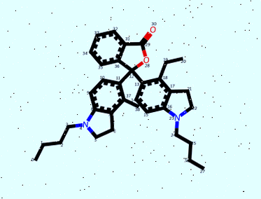 CCCCN1CCc2c1ccc(C1(c3ccc4c(c3CC)CCN4CCCC)OC(=O)c3ccccc31)c2C